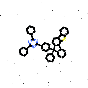 c1ccc(-c2nc(-c3ccccc3)nc(-c3ccc(C4(c5ccccc5)c5ccccc5-c5c4ccc4c5sc5ccccc54)cc3)n2)cc1